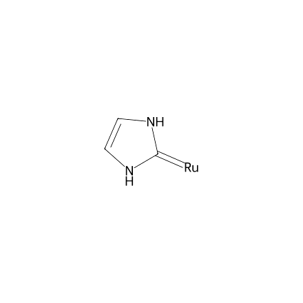 [Ru]=[c]1[nH]cc[nH]1